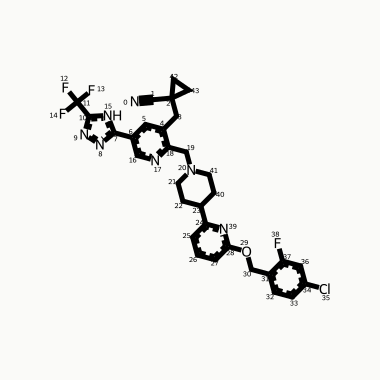 N#CC1(Cc2cc(-c3nnc(C(F)(F)F)[nH]3)cnc2CN2CCC(c3cccc(OCc4ccc(Cl)cc4F)n3)CC2)CC1